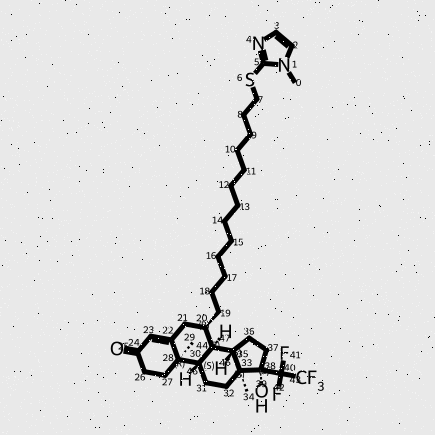 Cn1ccnc1SCCCCCCCCCCCCC[C@@H]1CC2=CC(=O)CC[C@]2(C)[C@H]2CC[C@@]3(C)[C@@H](CC[C@@]3(O)C(F)(F)C(F)(F)F)[C@H]12